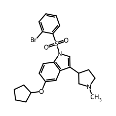 CN1CCC(c2cn(S(=O)(=O)c3ccccc3Br)c3ccc(OC4CCCC4)cc23)C1